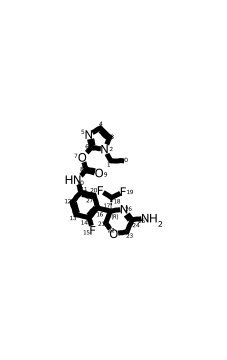 CCn1ccnc1OC(=O)Nc1ccc(F)c([C@]2(C(F)F)COCC(N)=N2)c1